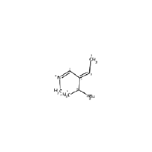 C/C=C(\C=N/C)C(C)CCCC